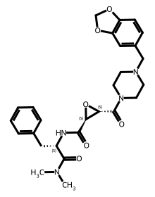 CN(C)C(=O)[C@H](Cc1ccccc1)NC(=O)[C@H]1O[C@@H]1C(=O)N1CCN(Cc2ccc3c(c2)OCO3)CC1